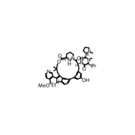 CCn1c(-c2cnccc2COC)c2c3cc(ccc31)-c1cc(O)cc(c1)C[C@H](NC(=O)[C@H](C(C)C)N(C)C(=O)[C@H]1CCCN1C)C(=O)N1CCC[C@H](N1)C(=O)OCC(C)(C)C2